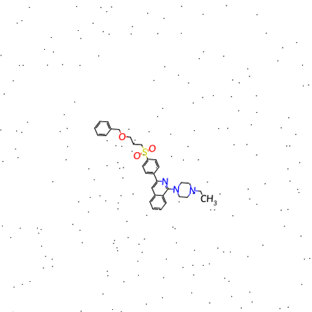 CCN1CCN(c2nc(-c3ccc(S(=O)(=O)CCCOCc4ccccc4)cc3)cc3ccccc23)CC1